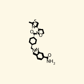 Cc1nc([C@@H]2CCON2C(=O)[C@H]2CC[C@H](Cn3cc4ccc(C(N)=O)cc4n3)CC2)cs1